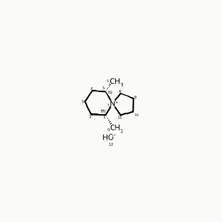 C[C@@H]1CCC[C@H](C)[N+]12CCCC2.[OH-]